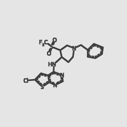 O=S(=O)(C1CN(Cc2ccccc2)CCC1Nc1ncnc2sc(Cl)cc12)C(F)(F)F